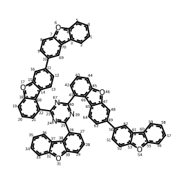 c1ccc2c(c1)oc1ccc(-c3ccc4c(c3)oc3cccc(-c5nc(-c6cccc7oc8ccccc8c67)nc(-c6cccc7oc8cc(-c9ccc%10oc%11ccccc%11c%10c9)ccc8c67)n5)c34)cc12